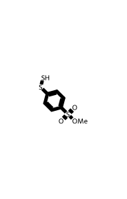 COS(=O)(=O)c1ccc(SS)cc1